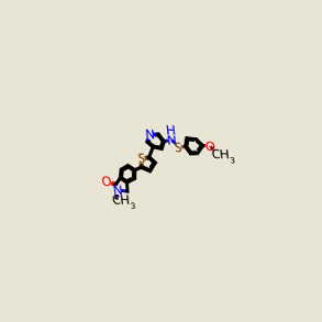 COc1ccc(SNc2cncc(-c3ccc(-c4ccc5c(c4)CN(C)C5=O)s3)c2)cc1